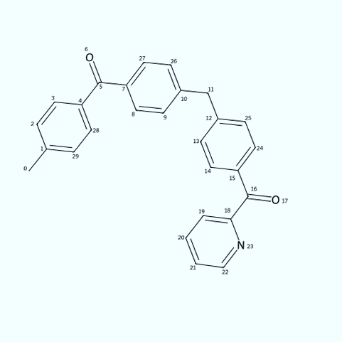 Cc1ccc(C(=O)c2ccc(Cc3ccc(C(=O)c4ccccn4)cc3)cc2)cc1